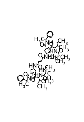 CC[C@H](C)[C@H](NC(=O)[C@H](C)NC)C(=O)N1C[C@@H](NC(=O)/C=C/C(=O)N[C@H]2C[C@@H](C(=O)N[C@H](C)c3ccccc3)N(C(=O)[C@@H](NC(=O)[C@H](C)N(C)Cl)[C@@H](C)CC)C2)C[C@H]1C(=O)N[C@H](C)c1ccccc1